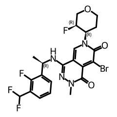 C[C@@H](Nc1nn(C)c(=O)c2c(Br)c(=O)n([C@@H]3CCOC[C@@H]3F)cc12)c1cccc(C(F)F)c1F